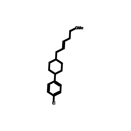 COCCC=CCC1CCC(c2ccc(Cl)cc2)CC1